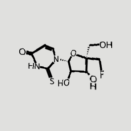 O=c1ccn([C@@H]2O[C@@](CO)(CF)[C@@H](O)C2O)c(=S)[nH]1